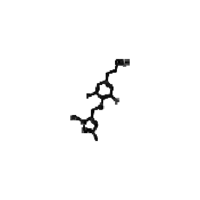 Cc1cc(COc2c(F)cc(CCC(=O)O)cc2F)n(C(C)C)n1